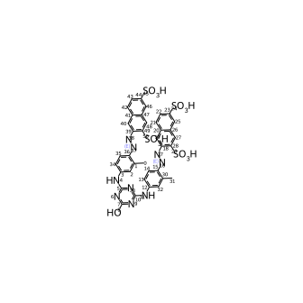 Cc1cc(Nc2nc(O)nc(Nc3ccc(/N=N/c4cc5ccc(S(=O)(=O)O)cc5cc4S(=O)(=O)O)c(C)c3)n2)ccc1/N=N/c1cc2ccc(S(=O)(=O)O)cc2cc1S(=O)(=O)O